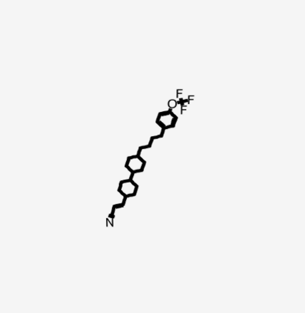 N#CC=CC1CCC(C2CCC(CCCCc3ccc(OC(F)(F)F)cc3)CC2)CC1